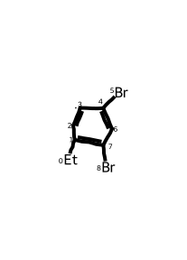 CCc1c[c]c(Br)cc1Br